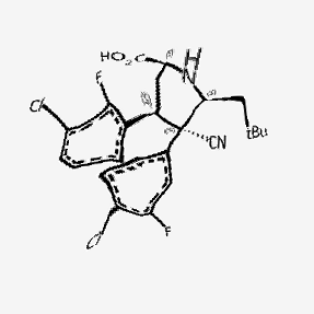 CC(C)(C)C[C@@H]1N[C@H](C(=O)O)[C@H](c2cccc(Cl)c2F)[C@]1(C#N)c1ccc(Cl)c(F)c1